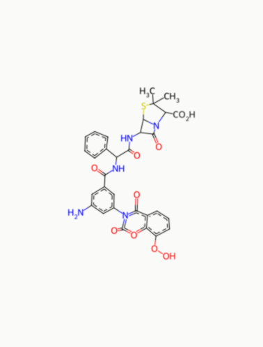 CC1(C)SC2C(NC(=O)C(NC(=O)c3cc(N)cc(-n4c(=O)oc5c(OO)cccc5c4=O)c3)c3ccccc3)C(=O)N2C1C(=O)O